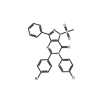 CS(=O)(=O)n1nc(-c2ccccc2)c2nc(-c3ccc(Br)cc3)n(-c3ccc(Cl)cc3)c(=O)c21